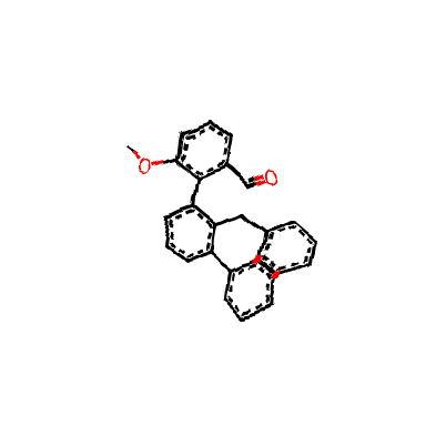 COc1cccc(C=O)c1-c1cccc(-c2ccccc2)c1Cc1ccccc1